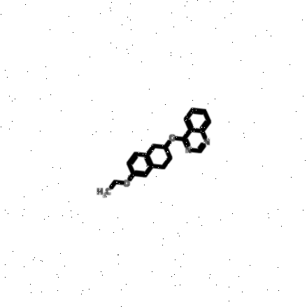 CCOc1ccc2c(c1)CCC(Oc1ncnc3ccccc13)C2